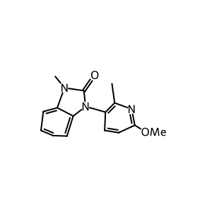 COc1ccc(-n2c(=O)n(C)c3ccccc32)c(C)n1